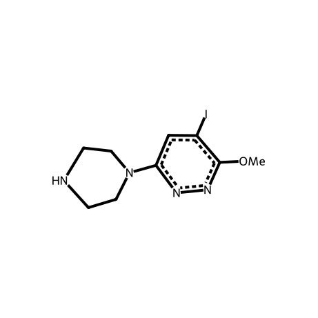 COc1nnc(N2CCNCC2)cc1I